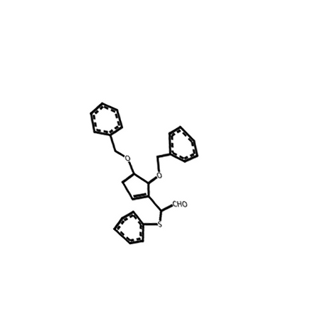 O=CC(Sc1ccccc1)C1=CCC(OCc2ccccc2)C1OCc1ccccc1